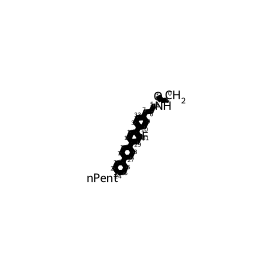 C=CC(=O)NCCCc1ccc(-c2ccc(C3CCC(C4CCC(CCCCC)CC4)CC3)cc2F)cc1